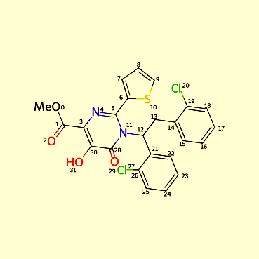 COC(=O)c1nc(-c2cccs2)n(C(Cc2ccccc2Cl)c2ccccc2Cl)c(=O)c1O